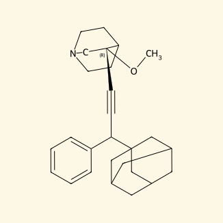 CO[C@]1(C#CC(c2ccccc2)C23CC4CC(CC(C4)C2)C3)CN2CCC1CC2